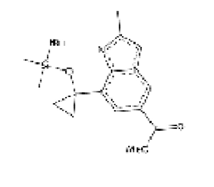 COC(=O)c1cc(C2(O[Si](C)(C)C(C)(C)C)CC2)c2nc(C)cn2c1